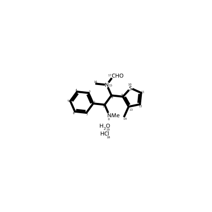 CNC(c1ccccc1)C(c1sccc1C)N(C)C=O.Cl.O